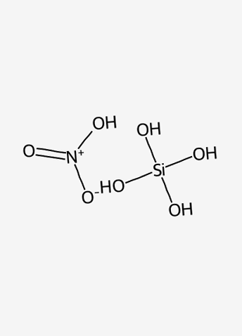 O=[N+]([O-])O.O[Si](O)(O)O